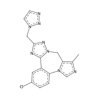 Cc1ncn2c1Cn1nc(Cn3ccnn3)nc1-c1cc(Cl)ccc1-2